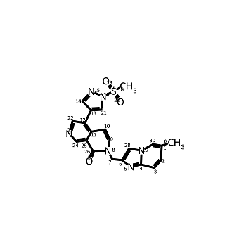 Cc1ccc2nc(Cn3ccc4c(-c5cnn(S(C)(=O)=O)c5)cncc4c3=O)cn2c1